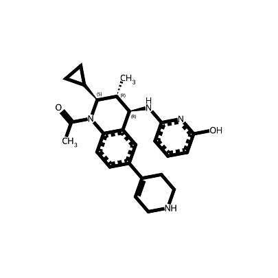 CC(=O)N1c2ccc(C3=CCNCC3)cc2[C@H](Nc2cccc(O)n2)[C@@H](C)[C@@H]1C1CC1